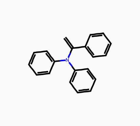 C=C(c1ccccc1)N(c1ccccc1)c1ccccc1